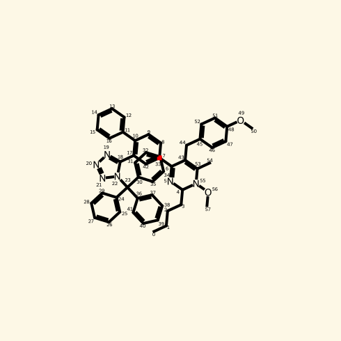 CCCCC1N=C(c2ccc(-c3ccccc3)c(-c3nnnn3C(c3ccccc3)(c3ccccc3)c3ccccc3)c2)C(Cc2ccc(OC)cc2)=C(C)N1OC